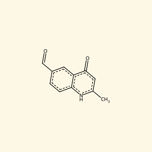 Cc1cc(=O)c2cc(C=O)ccc2[nH]1